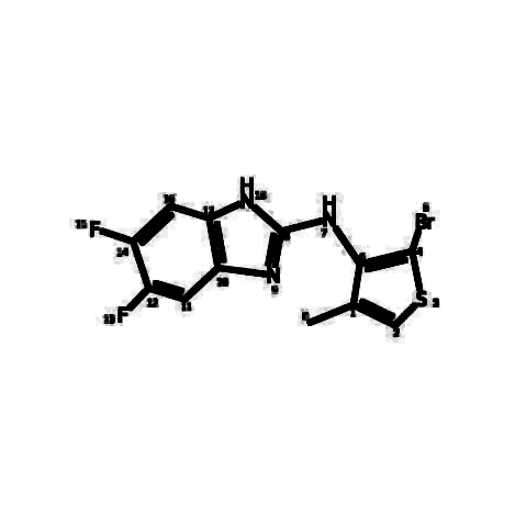 Cc1csc(Br)c1Nc1nc2cc(F)c(F)cc2[nH]1